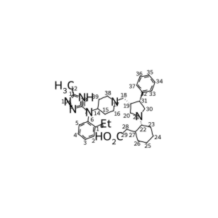 CCc1ccccc1N(c1nnc(C)[nH]1)C1CCN(C[C@H]2CN([C@@H]3CCCCC3CC(=O)O)C[C@@H]2c2ccccc2)CC1